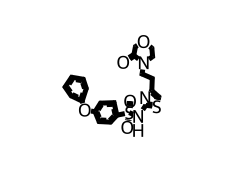 O=C1COCCN1CCc1csc(NS(=O)(=O)c2ccc(Oc3ccccc3)cc2)n1